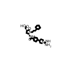 N=C(N)N1CCC(c2ccc(C(=O)NC[C@@H]3C[C@@H](CC(=O)O)C(=O)N3CCCc3ccccc3)cc2)CC1